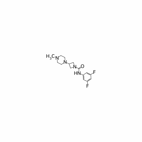 CN1CCN(C2CN(C(=O)Nc3cc(F)cc(F)c3)C2)CC1